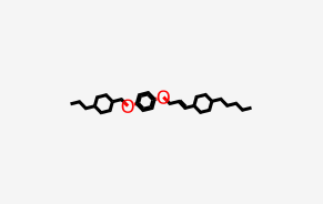 CCCCCC1CCC(/C=C/COc2ccc(OCC3CCC(CCC)CC3)cc2)CC1